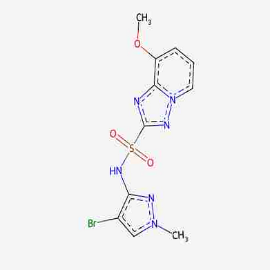 COc1cccn2nc(S(=O)(=O)Nc3nn(C)cc3Br)nc12